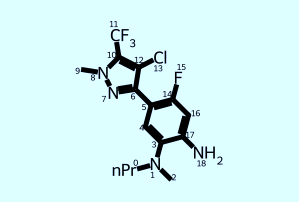 CCCN(C)c1cc(-c2nn(C)c(C(F)(F)F)c2Cl)c(F)cc1N